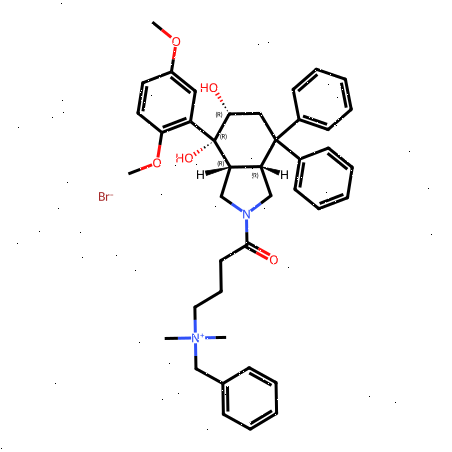 COc1ccc(OC)c([C@@]2(O)[C@H](O)CC(c3ccccc3)(c3ccccc3)[C@@H]3CN(C(=O)CCC[N+](C)(C)Cc4ccccc4)C[C@@H]32)c1.[Br-]